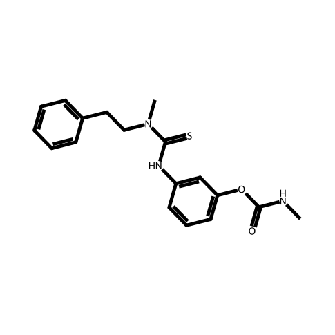 CNC(=O)Oc1cccc(NC(=S)N(C)CCc2ccccc2)c1